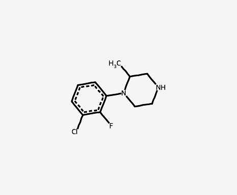 CC1CNCCN1c1cccc(Cl)c1F